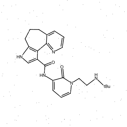 CC(C)(C)NCCn1cccc(NC(=O)c2c[nH]c3c2-c2ncccc2CCC3)c1=O